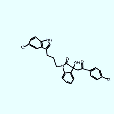 O=C(CC1(O)C(=O)N(CCCc2c[nH]c3ccc(Cl)cc23)c2ccccc21)c1ccc(Cl)cc1